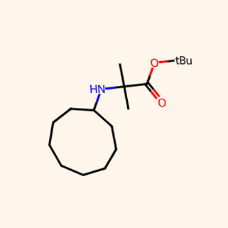 CC(C)(C)OC(=O)C(C)(C)NC1CCCCCCCC1